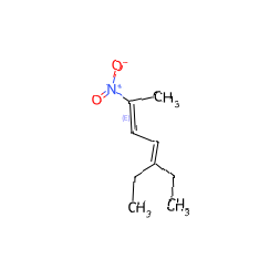 CCC(=C/C=C(\C)[N+](=O)[O-])CC